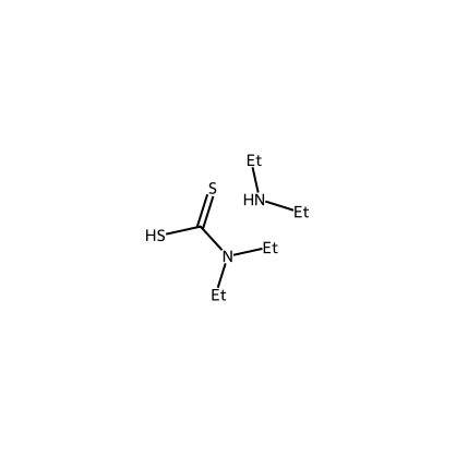 CCN(CC)C(=S)S.CCNCC